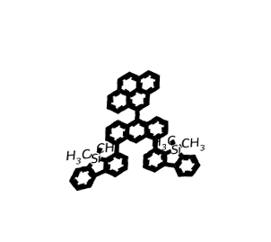 C[Si]1(C)c2ccccc2-c2cccc(-c3cccc4c(-c5cc6cccc7ccc8cccc5c8c76)c5cccc(-c6cccc7c6[Si](C)(C)c6ccccc6-7)c5cc34)c21